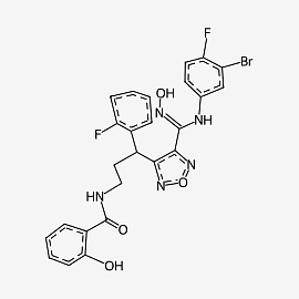 O=C(NCCC(c1ccccc1F)c1nonc1C(=NO)Nc1ccc(F)c(Br)c1)c1ccccc1O